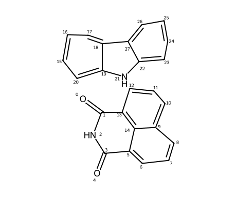 O=C1NC(=O)c2cccc3cccc1c23.c1ccc2c(c1)[nH]c1ccccc12